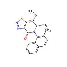 COC(=O)C(C)N(C(=O)c1csnn1)c1c(C)ccc2ccccc12